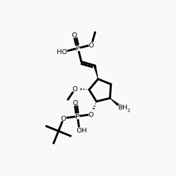 B[C@@H]1C[C@H](/C=C/P(=O)(O)OC)[C@@H](OC)[C@H]1OP(=O)(O)OC(C)(C)C